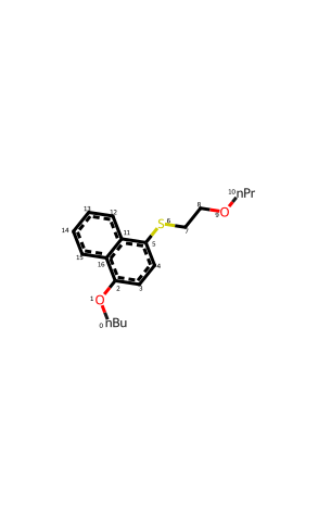 CCCCOc1ccc(SCCOCCC)c2ccccc12